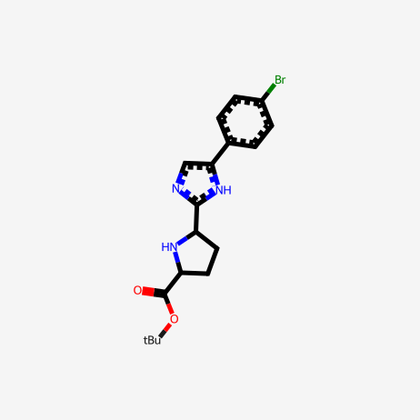 CC(C)(C)OC(=O)C1CCC(c2ncc(-c3ccc(Br)cc3)[nH]2)N1